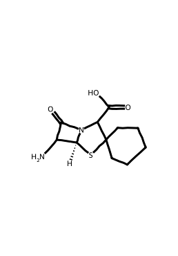 NC1C(=O)N2C(C(=O)O)C3(CCCCC3)S[C@@H]12